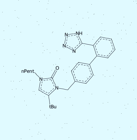 CCCCCn1cc(C(C)(C)C)n(Cc2ccc(-c3ccccc3-c3nnn[nH]3)cc2)c1=O